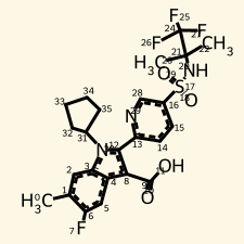 Cc1cc2c(cc1F)c(C(=O)O)c(-c1ccc(S(=O)(=O)NC(C)(C)C(F)(F)F)cn1)n2C1CCCC1